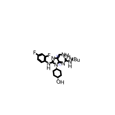 C=C(/N=C1\C(=C/N)N=C(Nc2ccc(F)cc2F)N1[C@H]1CC[C@@H](O)CC1)NC(C)(C)C